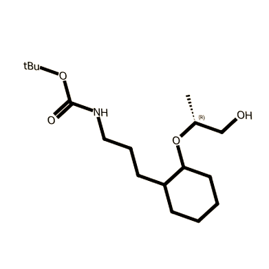 C[C@H](CO)OC1CCCCC1CCCNC(=O)OC(C)(C)C